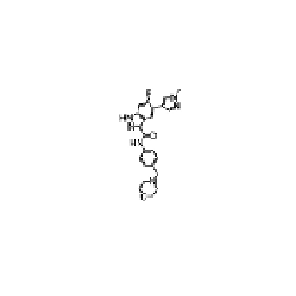 Cn1cc(-c2cc3c(C(=O)Nc4ccc(CN5CCOCC5)cc4)n[nH]c3cc2F)cn1